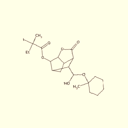 CCC(C)(I)C(=O)OC1C2CC3C1OC(=O)C3C2C(O)OC1(C)CCCCC1